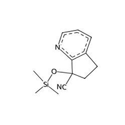 C[Si](C)(C)OC1(C#N)CCc2cccnc21